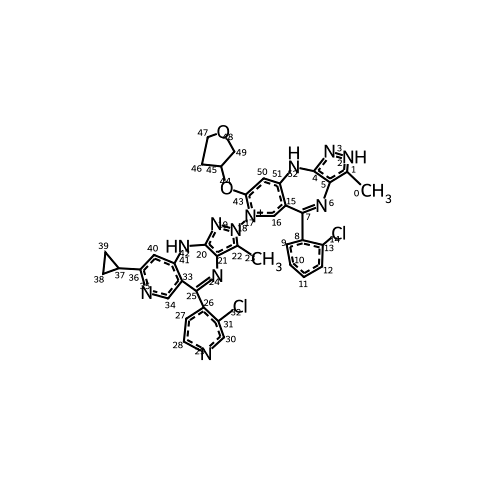 Cc1[nH]nc2c1N=C(c1ccccc1Cl)c1c[n+](-n3nc4c(c3C)N=C(c3ccncc3Cl)c3cnc(C5CC5)cc3N4)c(OC3CCOC3)cc1N2